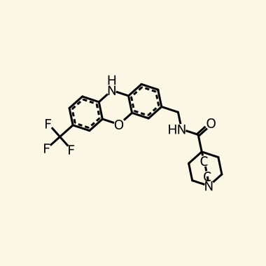 O=C(NCc1ccc2c(c1)Oc1cc(C(F)(F)F)ccc1N2)C12CCN(CC1)CC2